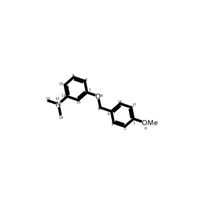 COc1ccc(COc2cccc(N(C)C)c2)cc1